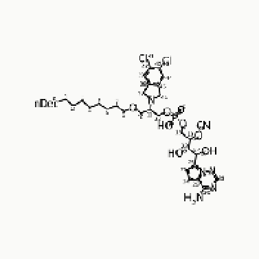 CCCCCCCCCCCCCCCCCCOC[C@H](COP(=O)(O)OC[C@@H](OC#N)[C@@H](O)[C@@H](O)c1ccc2c(N)ncnn12)N1Cc2cc(Cl)c(Cl)cc2C1